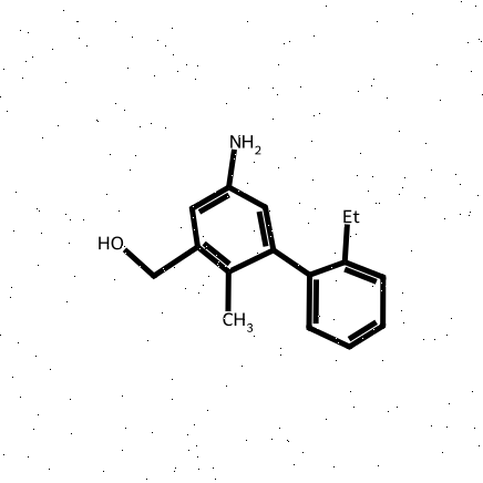 CCc1ccccc1-c1cc(N)cc(CO)c1C